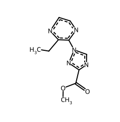 CCc1nccnc1-n1cnc(C(=O)OC)n1